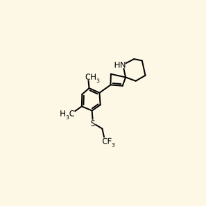 Cc1cc(C)c(C2=CC3(CCCCN3)C2)cc1SCC(F)(F)F